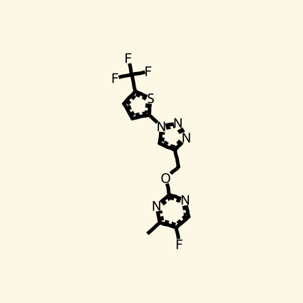 Cc1nc(OCc2cn(-c3ccc(C(F)(F)F)s3)nn2)ncc1F